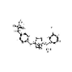 CS(=O)(=O)Nc1ccc(CC23CCC([C@@H](O)c4cccc(F)c4)(CC2)N3)cc1